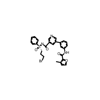 Cc1ccoc1C(=O)Nc1cccc(-c2cncc(C(=O)N=[S@](=O)(CCCBr)c3ccccc3)c2)c1